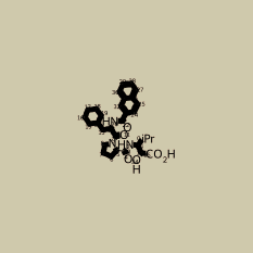 CC(C)C(NC(=O)[C@@H]1CCCN1C(=O)C(CC1CCCCC1)NC(=O)c1ccc2ccccc2c1)C(O)C(=O)O